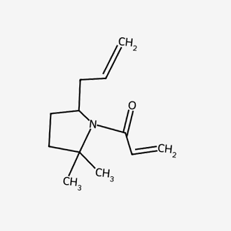 C=CCC1CCC(C)(C)N1C(=O)C=C